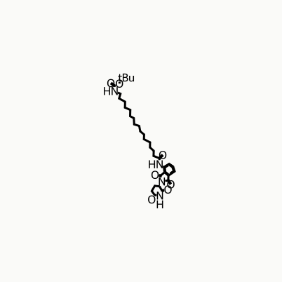 CC(C)(C)OC(=O)NCCCCCCCCCCCCCCCCC(=O)Nc1cccc2c1C(=O)N(C1CCC(=O)NC1=O)C2=O